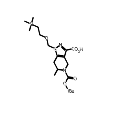 CC1Cc2c(c(C(=O)O)nn2COCC[Si](C)(C)C)CN1C(=O)OC(C)(C)C